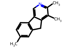 Cc1ccc2c(c1)Cc1c-2cnc(C)c1C